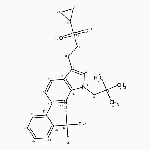 CC(C)(C)Cn1cc(CCS(=O)(=O)C2CC2)c2ccc(-c3ccccc3C(F)(F)F)nc21